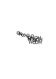 N#C/C(=C\c1ccc(-c2ccc3cc(N4CCOCC4)ccc3c2)o1)C(=O)NC[C@H]1OC(O)[C@H](O)[C@@H](O)[C@@H]1O